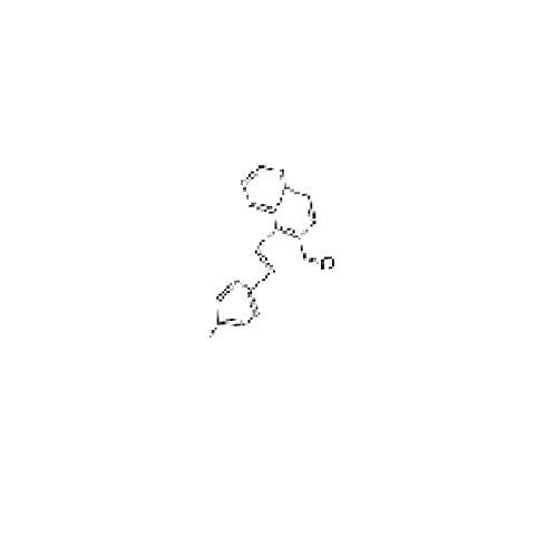 Cc1ccc(C=Cc2c(C=O)ccc3ccccc23)cc1